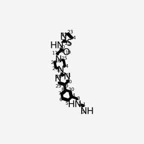 N=CNCc1cccc(-c2cnc(N3CCN(CC(=O)Nc4nccs4)CC3)nc2)c1